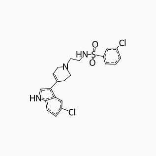 O=S(=O)(NCCN1CC=C(c2c[nH]c3ccc(Cl)cc23)CC1)c1cccc(Cl)c1